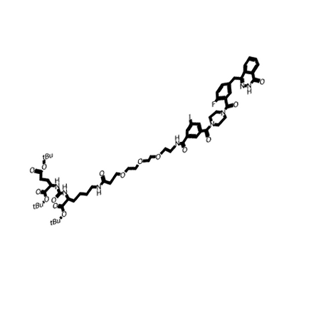 CC(C)(C)OC(=O)CCC(NC(=O)NC(CCCCNC(=O)CCOCCOCCOCCNC(=O)c1cc(I)cc(C(=O)N2CCN(C(=O)c3cc(Cc4n[nH]c(=O)c5ccccc45)ccc3F)CC2)c1)C(=O)OC(C)(C)C)C(=O)OC(C)(C)C